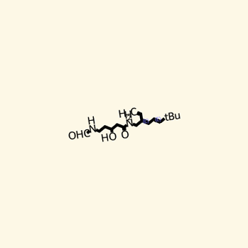 C=C/C(=C\C=C\C(C)(C)C)CNC(=O)CC(O)CCNC=O